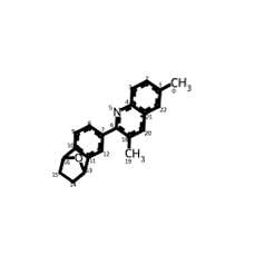 Cc1ccc2nc(-c3ccc4c(c3)C3CCC4O3)c(C)cc2c1